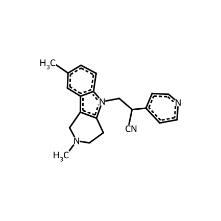 Cc1ccc2c(c1)c1c(n2CC(C#N)c2ccncc2)CCN(C)C1